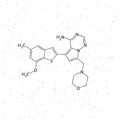 COc1cc(C)cc2cc(-c3cc(CN4CCOCC4)n4ncnc(N)c34)sc12